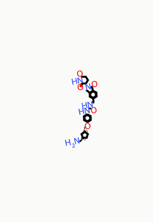 NC[C@@H]1CC[C@@H](COc2ccc(NC(=O)NCc3ccc4c(c3)CN(C3CCC(=O)NC3=O)C4=O)cc2)C1